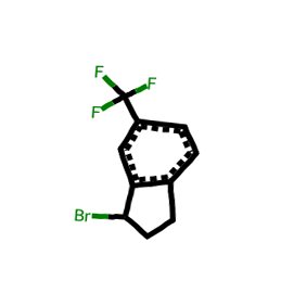 FC(F)(F)c1ccc2c(c1)C(Br)CC2